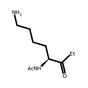 CCC(=O)[C@H](CCCCN)NC(C)=O